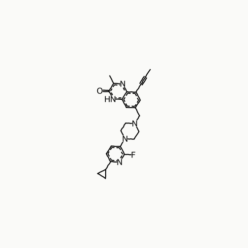 CC#Cc1cc(CN2CCN(c3ccc(C4CC4)nc3F)CC2)cc2[nH]c(=O)c(C)nc12